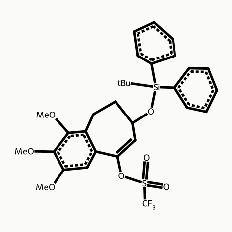 COc1cc2c(c(OC)c1OC)CCC(O[Si](c1ccccc1)(c1ccccc1)C(C)(C)C)C=C2OS(=O)(=O)C(F)(F)F